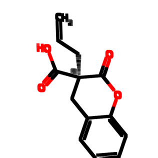 C=CC[C@@]1(C(=O)O)Cc2ccccc2OC1=O